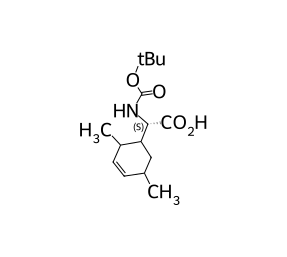 CC1C=CC(C)C([C@H](NC(=O)OC(C)(C)C)C(=O)O)C1